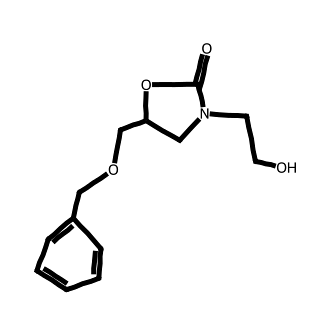 O=C1OC(COCc2ccccc2)CN1CCO